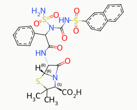 CC1(C)S[C@@H]2[C@H](NC(=O)C(c3ccccc3)N(C(=O)NS(=O)(=O)c3ccc4ccccc4c3)S(N)(=O)=O)C(=O)N2[C@H]1C(=O)O